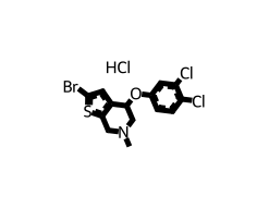 CN1Cc2sc(Br)cc2C(Oc2ccc(Cl)c(Cl)c2)C1.Cl